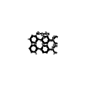 CC(C)[SiH](c1ccc(-c2ccccn2)nc1)C(C)C.CC(C)[SiH](c1ccc(-c2ccccn2)nc1)C(C)C.N#[C][Fe][C]#N